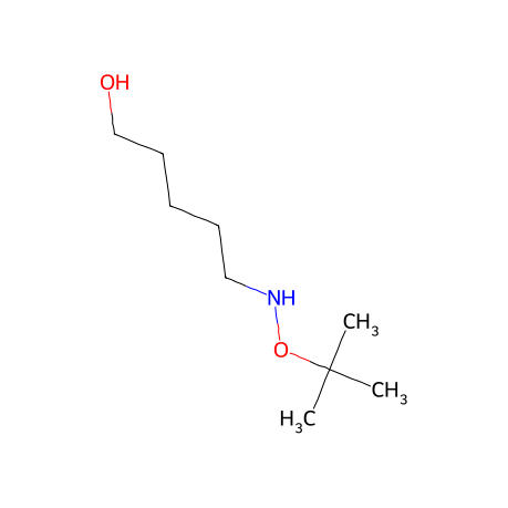 CC(C)(C)ONCCCCCO